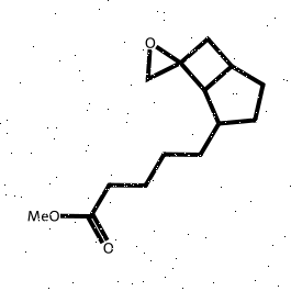 COC(=O)CCCCC1CCC2CC3(CO3)C12